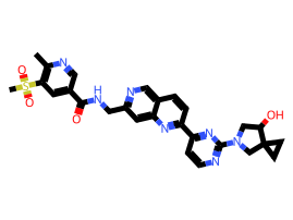 Cc1ncc(C(=O)NCc2cc3nc(-c4ccnc(N5CC(O)C6(CC6)C5)n4)ccc3cn2)cc1S(C)(=O)=O